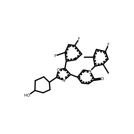 Cc1cc(F)cc(C)c1-n1cc(-c2nc(C3CCC(O)CC3)oc2-c2ccc(F)cc2F)ccc1=O